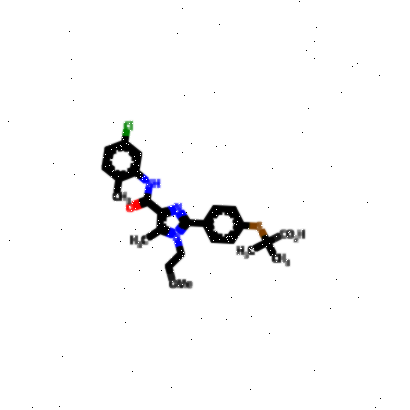 COCCn1c(-c2ccc(SC(C)(C)C(=O)O)cc2)nc(C(=O)Nc2cc(Cl)ccc2C)c1C